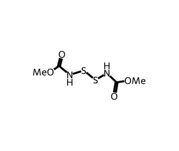 COC(=O)NSSNC(=O)OC